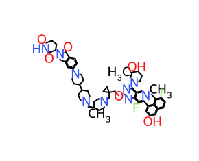 CCc1c(F)ccc2cc(O)cc(-c3ncc4c(N5CCC[C@@](C)(O)C5)nc(OCC5(CN6CCC(C)(CN7CCC(C8CCN(c9ccc%10c(c9)CN(C9CCC(=O)NC9=O)C%10=O)CC8)CC7)CC6)CC5)nc4c3F)c12